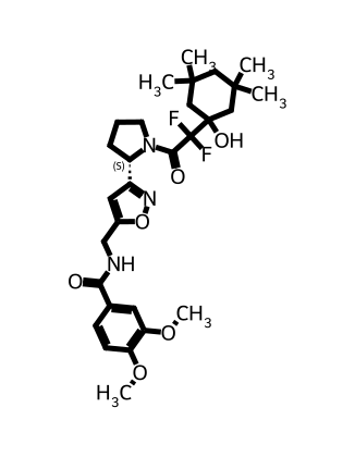 COc1ccc(C(=O)NCc2cc([C@@H]3CCCN3C(=O)C(F)(F)C3(O)CC(C)(C)CC(C)(C)C3)no2)cc1OC